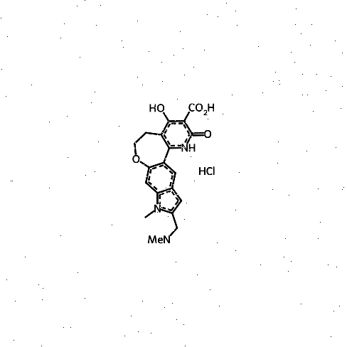 CNCc1cc2cc3c(cc2n1C)OCCc1c-3[nH]c(=O)c(C(=O)O)c1O.Cl